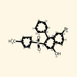 Cc1ccc(S(=O)(=O)c2cc(O)c3ccc(Br)cc3c2-c2ccccc2)cc1